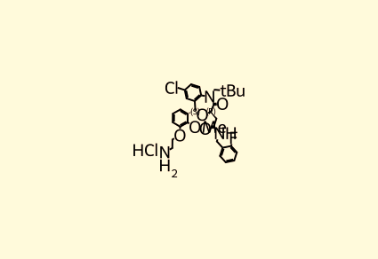 COc1c(OCCN)cccc1[C@H]1O[C@H](CC(=O)NCc2ccccc2F)C(=O)N(CC(C)(C)C)c2ccc(Cl)cc21.Cl